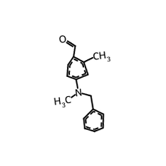 Cc1cc(N(C)Cc2ccccc2)ccc1C=O